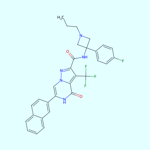 CCCN1CC(NC(=O)c2nn3cc(-c4ccc5ccccc5c4)[nH]c(=O)c3c2C(F)(F)F)(c2ccc(F)cc2)C1